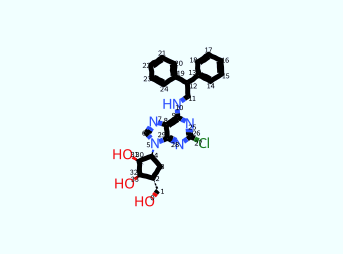 OC[C@H]1C[C@@H](n2cnc3c(NCC(c4ccccc4)c4ccccc4)nc(Cl)nc32)[C@H](O)[C@@H]1O